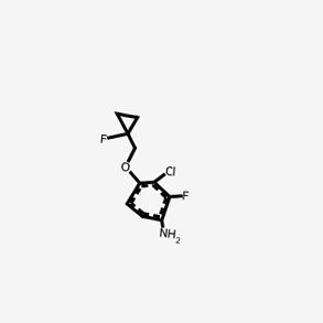 Nc1ccc(OCC2(F)CC2)c(Cl)c1F